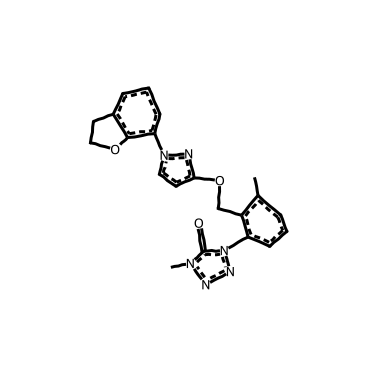 Cc1cccc(-n2nnn(C)c2=O)c1COc1ccn(-c2cccc3c2OCC3)n1